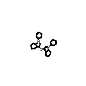 c1ccc(-n2cc(Oc3cn(-c4ccccc4)c4ccccc34)c3ccccc32)cc1